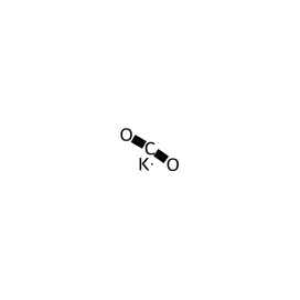 O=C=O.[K]